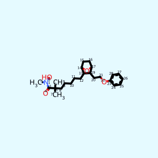 CN(O)C(=O)C(C)(C)CCCCCC1C2CCC(O2)C1CCOc1ccccc1